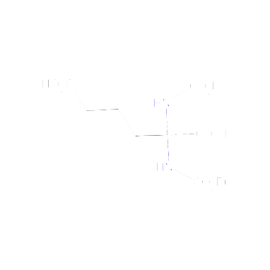 CCOC(=O)NC(CCCC(=O)O)(NC(=O)OCC)C(=O)O